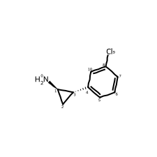 N[C@@H]1C[C@H]1c1cccc(Cl)c1